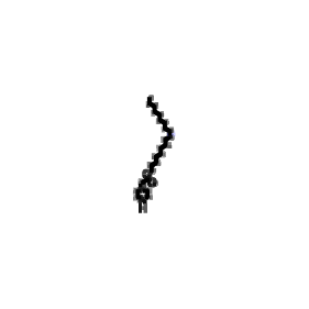 CCCCCCCC/C=C\CCCCCCCCOC(=O)CN1CCNCC1